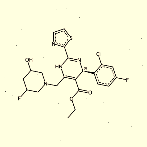 CCOC(=O)C1=C(CN2CC(O)CC(F)C2)NC(c2nccs2)=N[C@H]1c1ccc(F)cc1Cl